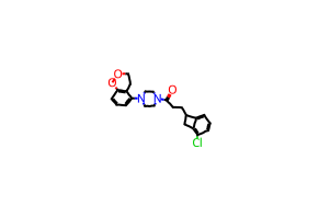 O=C(CCC1Cc2c(Cl)cccc21)N1CCN(c2cccc3c2CCOO3)CC1